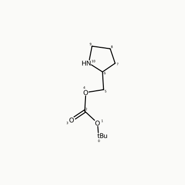 CC(C)(C)OC(=O)OCC1CCCN1